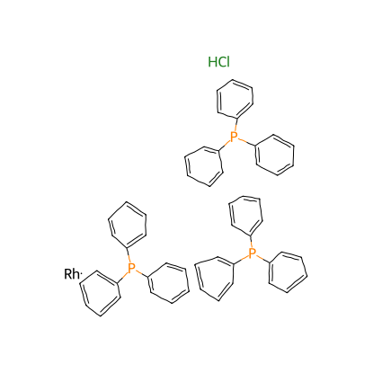 Cl.[Rh].c1ccc(P(c2ccccc2)c2ccccc2)cc1.c1ccc(P(c2ccccc2)c2ccccc2)cc1.c1ccc(P(c2ccccc2)c2ccccc2)cc1